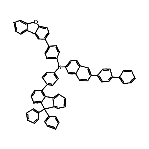 c1ccc(-c2ccc(-c3ccc4cc(N(c5ccc(-c6ccc7oc8ccccc8c7c6)cc5)c5ccc(-c6cccc7c6-c6ccccc6C7(c6ccccc6)c6ccccc6)cc5)ccc4c3)cc2)cc1